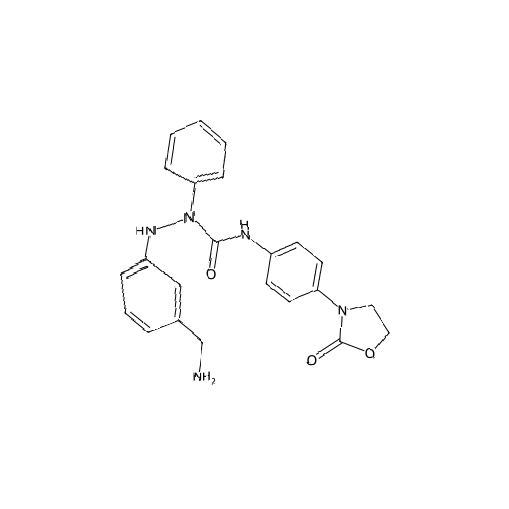 NCc1cccc(NN(C(=O)Nc2ccc(N3CCOC3=O)cc2)c2ccccc2)c1